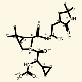 CC1(C)CC(CC(C#N)NC(=O)C2C3C(CN2C(=O)C(NC(=O)C(F)(F)F)C2CC2)C3(C)C)C(=O)N1